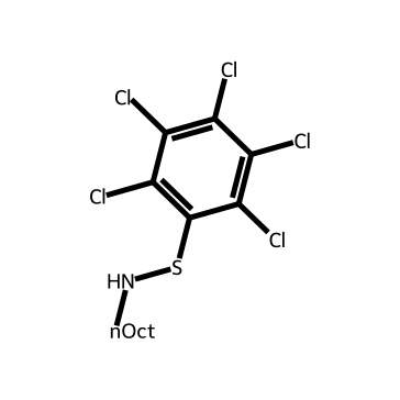 CCCCCCCCNSc1c(Cl)c(Cl)c(Cl)c(Cl)c1Cl